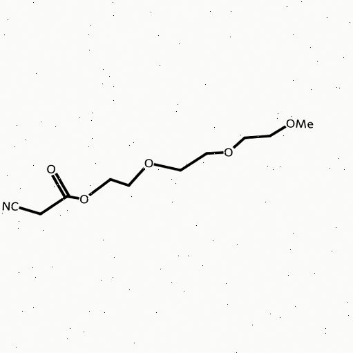 COCCOCCOCCOC(=O)CC#N